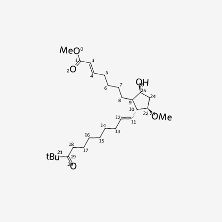 COC(=O)C=CCCCCC1[C@@H](/C=C/CCCCCCC(=O)C(C)(C)C)[C@H](OC)C[C@@H]1O